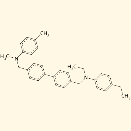 CCc1ccc(N(CC)Cc2ccc(-c3ccc(CN(C)c4ccc(C)cc4)cc3)cc2)cc1